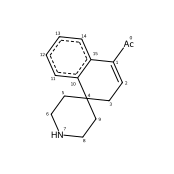 CC(=O)C1=CCC2(CCNCC2)c2ccccc21